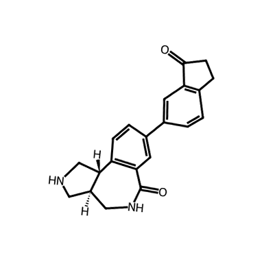 O=C1CCc2ccc(-c3ccc4c(c3)C(=O)NC[C@H]3CNC[C@H]43)cc21